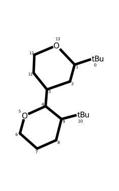 CC(C)(C)C1CC(C2OCCCC2C(C)(C)C)CCO1